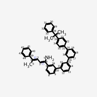 C/C(=C\C=C(/N)c1cccc(-c2cccc(-c3cccc(-c4ccc(C(C)(C)c5ccccc5)cc4)c3)c2)c1)c1ccccc1